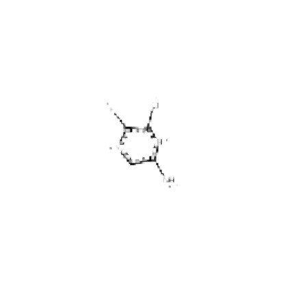 Nc1cnc(F)c(Cl)n1